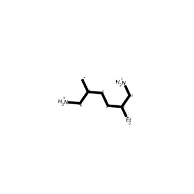 CCC(CN)CCC(C)CN